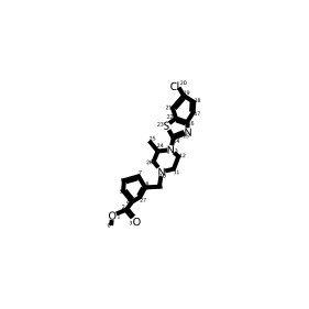 COC(=O)c1cccc(CN2CCN(c3nc4ccc(Cl)cc4s3)C(C)C2)c1